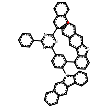 c1ccc(-c2nc(-c3ccc(-n4c5ccccc5c5cc6ccccc6cc54)c(-c4cccc5sc6cc7ccccc7cc6c45)c3)nc(-c3ccc4ccccc4c3)n2)cc1